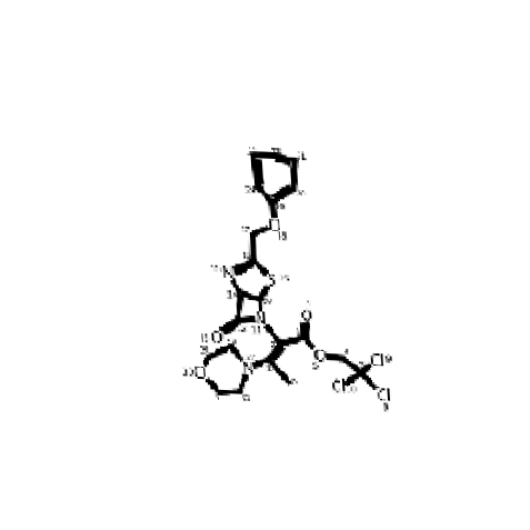 CC(=C(C(=O)OCC(Cl)(Cl)Cl)N1C(=O)C2N=C(COc3ccccc3)SC21)N1CCOCC1